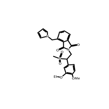 CCOc1cc(C(CN2C(=O)c3cccc(Cn4cccc4)c3C2=O)S(C)(=O)=O)ccc1OC